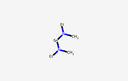 CC[N](C)[Sn][N](C)CC